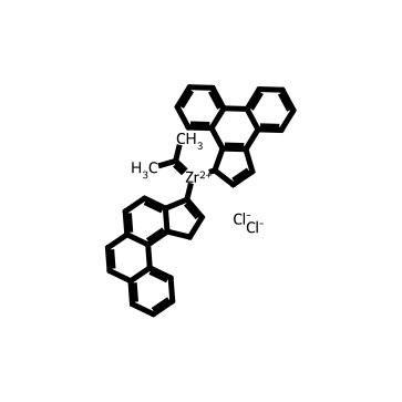 C[C](C)=[Zr+2]([C]1=CCc2c1ccc1ccc3ccccc3c21)[CH]1C=Cc2c1c1ccccc1c1ccccc21.[Cl-].[Cl-]